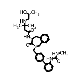 CNC(=O)Nc1ccccc1-c1ccc(CN2Cc3ccccc3C[C@@H](NC(=O)CC(C)(C)NC[C@@H](C)O)C2=O)cc1